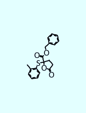 Cc1ccccc1SC1(C(=O)OCc2ccccc2)CCC(=O)O1